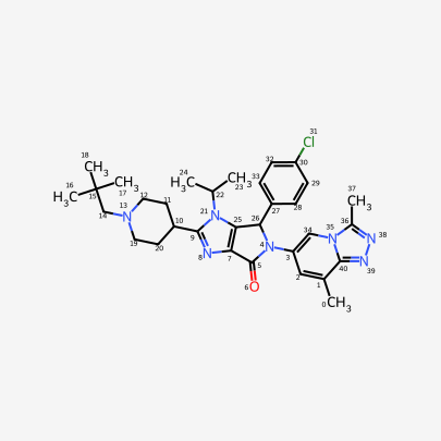 Cc1cc(N2C(=O)c3nc(C4CCN(CC(C)(C)C)CC4)n(C(C)C)c3C2c2ccc(Cl)cc2)cn2c(C)nnc12